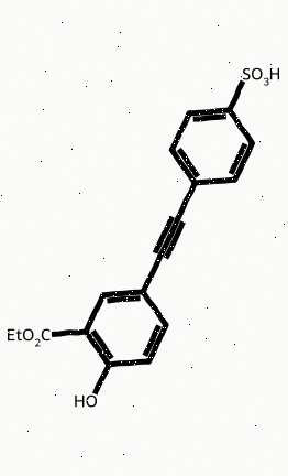 CCOC(=O)c1cc(C#Cc2ccc(S(=O)(=O)O)cc2)ccc1O